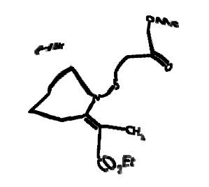 Br.CCOC(=O)C(C)=C1CCCCN1SCC(=O)OC